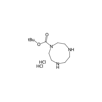 CC(C)(C)OC(=O)N1CCNCCNCC1.Cl.Cl